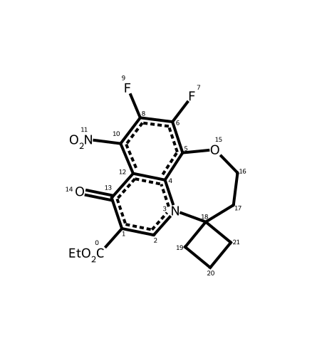 CCOC(=O)c1cn2c3c(c(F)c(F)c([N+](=O)[O-])c3c1=O)OCCC21CCC1